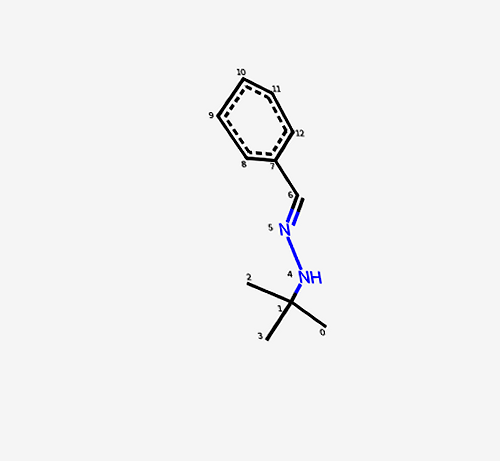 CC(C)(C)NN=Cc1ccccc1